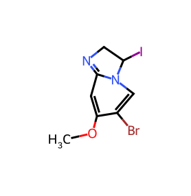 COC1=CC2=NCC(I)N2C=C1Br